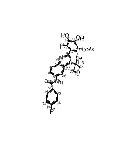 COc1cc(-c2nc3ccc(NC(=O)c4ccc(F)cc4)cc3n2C2(C)COC2)c(F)c(O)c1O